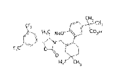 COc1ccc(C(C)(C)C(=O)O)cc1C1=C(CN2C(=O)O[C@H](c3cc(C(F)(F)F)cc(C(F)(F)F)c3)[C@@H]2C)CC(C)(C)CC1